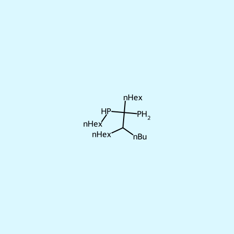 CCCCCCPC(P)(CCCCCC)C(CCCC)CCCCCC